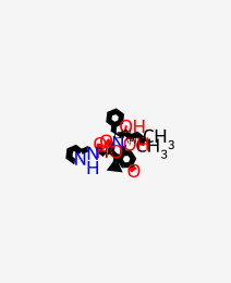 CC(C)C[C@H](O)[C@H](O)[C@H](CC1CCCCC1)N(CC1(O)CCC(=O)CC1)C(=O)[C@@H](CC(=O)NCc1ccccn1)CC1CC1